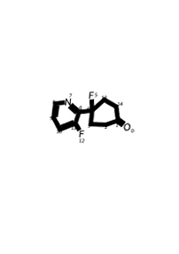 O=C1CCC(F)(c2ncccc2F)CC1